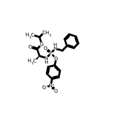 CC(C)OC(=O)[C@H](C)NP(=O)(NCc1ccccc1)Oc1ccc([N+](=O)[O-])cc1